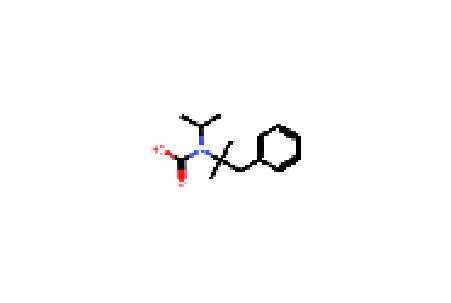 CC(C)N(C(=O)O)C(C)(C)Cc1ccccc1